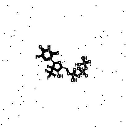 O=c1[nH]c(=S)n([C@@H]2O[C@H](COP(=O)(O)OP(=O)(O)OP(=O)(O)O)[C@H](O)C2(F)C(F)(F)F)cc1F